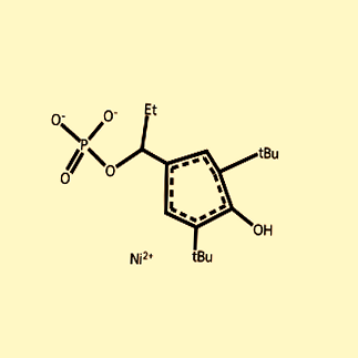 CCC(OP(=O)([O-])[O-])c1cc(C(C)(C)C)c(O)c(C(C)(C)C)c1.[Ni+2]